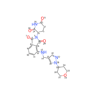 O=C1CCC(N2C(=O)c3cccc(NCc4cnn(C5CCOCC5)c4)c3C2=O)C(=O)N1